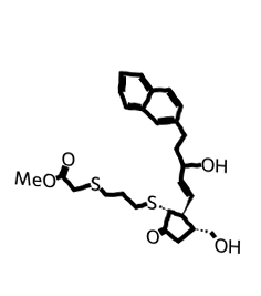 COC(=O)CSCCCS[C@H]1C(=O)C[C@@H](CO)[C@@H]1C=CC(O)CCc1ccc2ccccc2c1